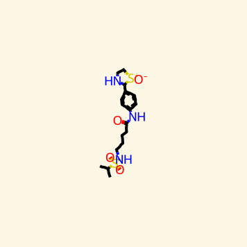 CC(C)S(=O)(=O)NCCCCC(=O)Nc1ccc(C2NCC[S+]2[O-])cc1